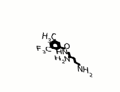 Cc1cc(C(=O)NC[C@H](N)CCCN)cc(C(F)(F)F)c1